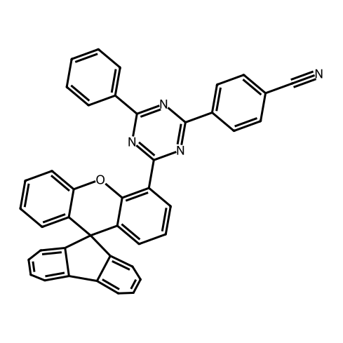 N#Cc1ccc(-c2nc(-c3ccccc3)nc(-c3cccc4c3Oc3ccccc3C43c4ccccc4-c4ccccc43)n2)cc1